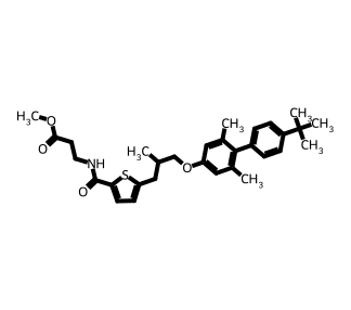 COC(=O)CCNC(=O)c1ccc(CC(C)COc2cc(C)c(-c3ccc(C(C)(C)C)cc3)c(C)c2)s1